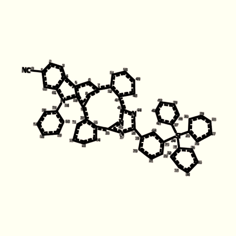 N#Cc1ccc2c3cc4cc(c5ccccc5c5nc(-c6cccc([Si](c7ccccc7)(c7ccccc7)c7ccccc7)c6)nc(n5)c5ccccc45)c3n(-c3ccccc3)c2c1